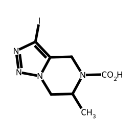 CC1Cn2nnc(I)c2CN1C(=O)O